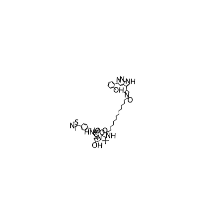 Cc1ncsc1-c1ccc(CNC(=O)[SiH]2C[C@@H](O)CN2C(=O)[C@@H](NC(=O)CCCCCCCCCCCCC(=O)N2CC(c3c[nH]c4nnc(-c5ccccc5O)cc34)C2)C(C)(C)C)cc1